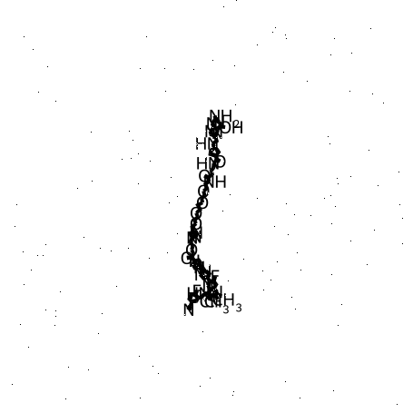 Cc1nc2cc(F)c(-c3cnc(N4CCN(C(=O)COCCn5cc(COCCOCCOCCOCCNC(=O)CCCNC(=O)c6ccc(NCc7cnc8nc(N)nc(O)c8n7)cc6)nn5)CC4)nc3)nc2c(N[C@H](C)c2cc(C#N)ccc2F)c1Cl